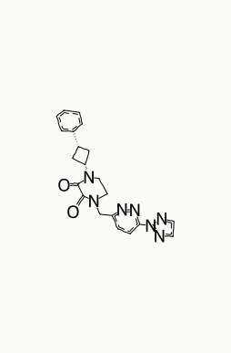 O=C1C(=O)N([C@H]2C[C@@H](c3ccccc3)C2)CCN1Cc1ccc(-n2nccn2)nn1